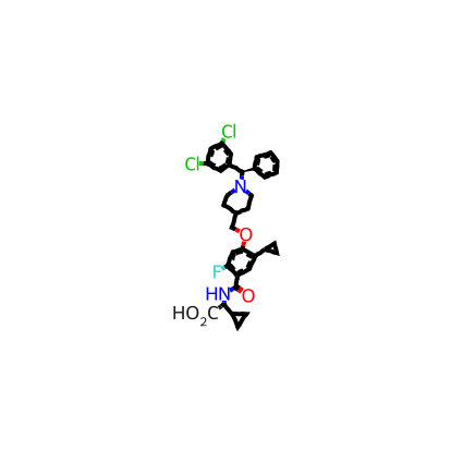 O=C(NC(C(=O)O)C1CC1)c1cc(C2CC2)c(OCC2CCN([C@H](c3ccccc3)c3cc(Cl)cc(Cl)c3)CC2)cc1F